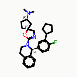 CN(C)[C@@H]1CC[C@]2(CN=C(N3CCc4ccccc4[C@@H]3c3ccc(F)c(C4CCCC4)c3)O2)C1